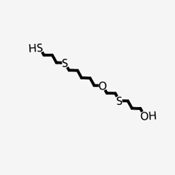 OCCCSCCOCCCCCSCCCS